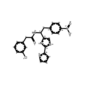 O=C(Cc1cccc(Cl)c1)NC(Cc1ccc([N+](=O)[O-])cc1)c1csc(-c2cccs2)n1